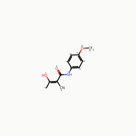 C/C(O)=C(\C#N)C(=O)Nc1ccc(OC(F)(F)F)cc1